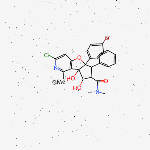 COc1nc(Cl)cc2c1C1(O)C(O)C(C(=O)N(C)C)C(c3ccccc3)C1(c1ccc(Br)cc1)O2